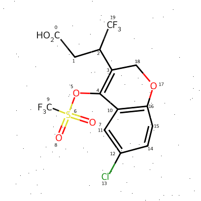 O=C(O)CC(C1=C(OS(=O)(=O)C(F)(F)F)c2cc(Cl)ccc2OC1)C(F)(F)F